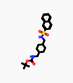 CC(C)(C)OC(=O)NCC1CCC(CNS(=O)(=O)c2ccc3ccccc3c2)CC1